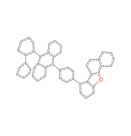 c1ccc(-c2ccccc2-c2c3ccccc3c(-c3ccc(-c4cccc5oc6c7ccccc7ccc6c45)cc3)c3ccccc23)cc1